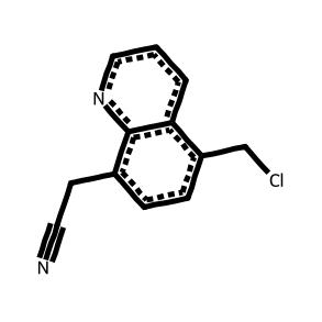 N#CCc1ccc(CCl)c2cccnc12